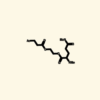 CNC(=O)CCC(NC)C(=O)OCCOC(=O)CCC(C)=O